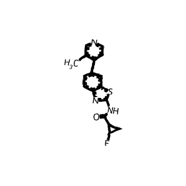 Cc1cnccc1-c1ccc2nc(NC(=O)C3CC3F)sc2c1